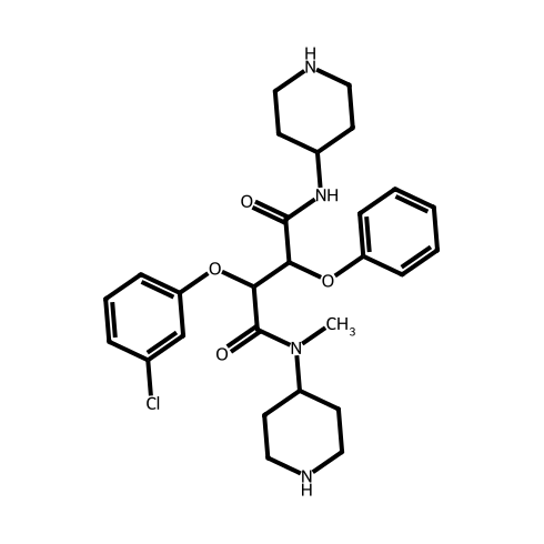 CN(C(=O)C(Oc1cccc(Cl)c1)C(Oc1ccccc1)C(=O)NC1CCNCC1)C1CCNCC1